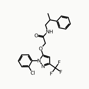 CC(CNC(=O)COc1cc(C(F)(F)F)nn1-c1ccccc1Cl)c1ccccc1